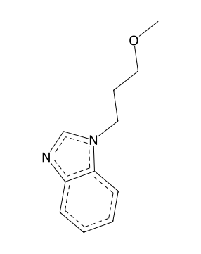 COCCCn1cnc2ccccc21